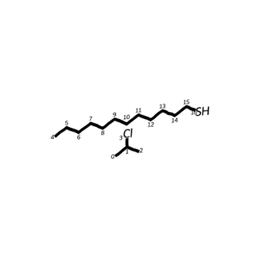 CC(C)Cl.CCCCCCCCCCCCS